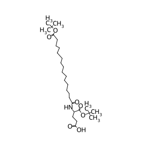 CC(C)(C)OC(=O)CCCCCCCCCCCCCCC(=O)NC(CCC(=O)O)C(=O)OC(C)(C)C